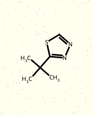 CC(C)(C)c1nn[c]s1